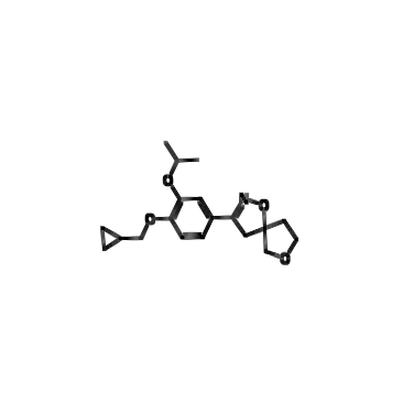 CC(C)Oc1cc(C2=NOC3(CCOC3)C2)ccc1OCC1CC1